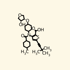 CC1CCC(C(=O)N(c2cc(C#CC(C)(C)C)sc2C(=O)O)C2CCC(O[C@H]3COC[C@@H]3O)CC2)CC1